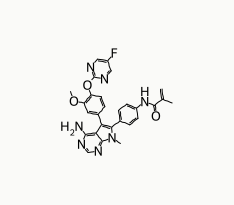 C=C(C)C(=O)Nc1ccc(-c2c(-c3ccc(Oc4ncc(F)cn4)c(OC)c3)c3c(N)ncnc3n2C)cc1